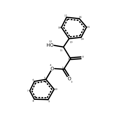 C=C(C(=O)Oc1ccccc1)C(O)c1ccccc1